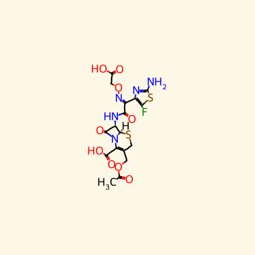 CC(=O)OCC1=C(C(=O)O)N2C(=O)[C@@H](NC(=O)C(=NOCC(=O)O)c3nc(N)sc3F)[C@H]2SC1